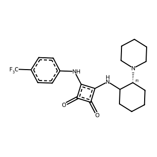 O=c1c(Nc2ccc(C(F)(F)F)cc2)c(NC2CCCC[C@H]2N2CCCCC2)c1=O